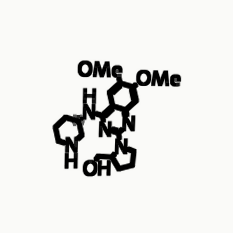 COc1cc2nc(N3CCCC3CO)nc(N[C@H]3CCCNC3)c2cc1OC